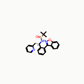 CC(C)(C)[S+]([O-])N[C@@H](Cc1ccccn1)c1ccccc1-c1noc2ccccc12